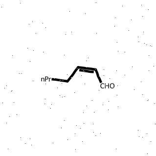 CCCC/C=C\C=O